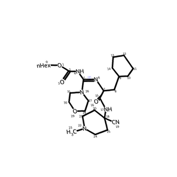 CCCCCCOC(=O)N/C(=N/C(CC1CCCCC1)C(=O)NC1(C#N)CCN(C)CC1)N1CCOCC1